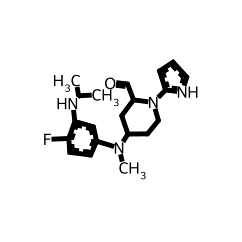 CC(C)Nc1cc(N(C)C2CCN(c3ccc[nH]3)C(C=O)C2)ccc1F